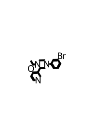 CC(=O)N1CCN(c2cccc(Br)c2)CC1c1cccnc1